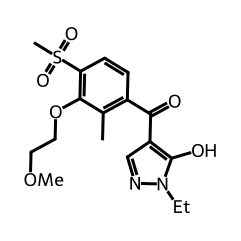 CCn1ncc(C(=O)c2ccc(S(C)(=O)=O)c(OCCOC)c2C)c1O